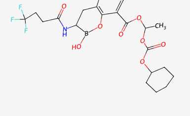 CC(OC(=O)OC1CCCCC1)OC(=O)c1cccc2c1OB(O)C(NC(=O)CCC(F)(F)F)C2